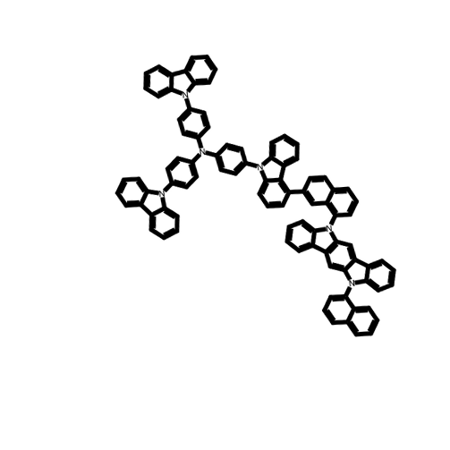 c1ccc2c(-n3c4ccccc4c4cc5c(cc43)c3ccccc3n5-c3cccc4ccc(-c5cccc6c5c5ccccc5n6-c5ccc(N(c6ccc(-n7c8ccccc8c8ccccc87)cc6)c6ccc(-n7c8ccccc8c8ccccc87)cc6)cc5)cc34)cccc2c1